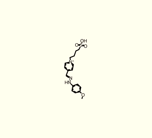 COc1ccc(NN=Cc2cc[n+](CCCCS(=O)(=O)O)cc2)cc1